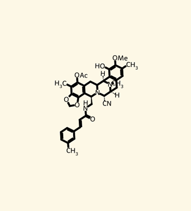 COc1c(C)cc2c(c1O)[C@@H]1C3Cc4c(OC(C)=O)c(C)c5c(c4[C@H](CNC(=O)/C=C/c4cccc(C)c4)N3[C@@H](C#N)[C@H](C2)N1C)OCO5